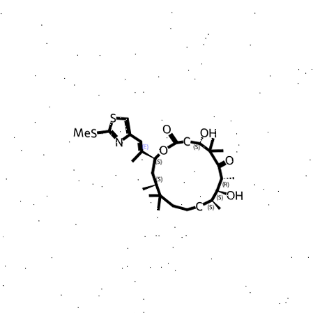 CSc1nc(/C=C(\C)[C@@H]2C[C@H](C)C(C)(C)CCC[C@H](C)[C@H](O)[C@@H](C)C(=O)C(C)(C)[C@@H](O)CC(=O)O2)cs1